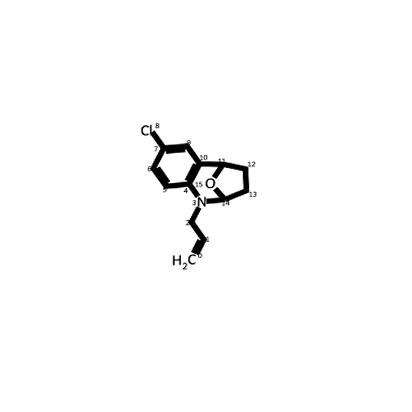 C=CCN1c2ccc(Cl)cc2C2CCC1O2